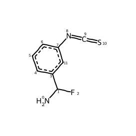 NC(F)c1cccc(N=C=S)c1